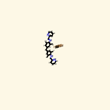 Br.Br.Br.Br.Cc1cc(Cc2cc(C)c(N=Cc3ccccn3)c(C)c2)cc(C)c1N=Cc1ccccn1.[Ni].[Ni]